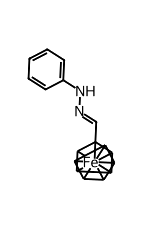 C(=NNc1ccccc1)[C]12[CH]3[CH]4[CH]5[CH]1[Fe]45321678[CH]2[CH]1[CH]6[CH]7[CH]28